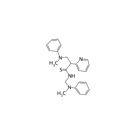 CN(CNC(=S)C(CN(C)c1ccccc1)c1ccccn1)c1ccccc1